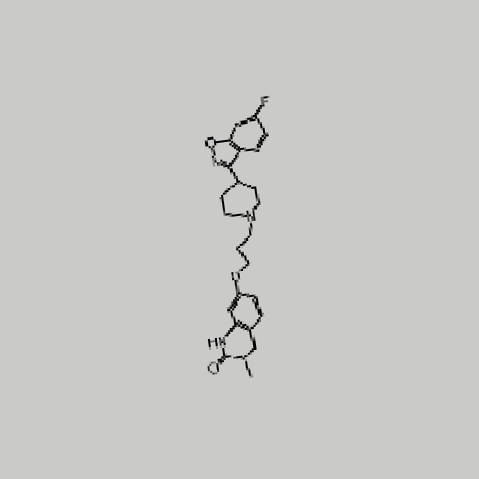 CC1Cc2ccc(OCCCN3CCC(c4noc5cc(F)ccc45)CC3)cc2NC1=O